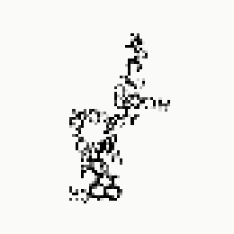 CCc1cccc2cc(O)cc(-c3ncc4c(N5C[C@H]6CC[C@@H](C5)N6)nc(OCCN5CCC(C)(CN6CCN(c7cc([C@@H](C(=O)N8C[C@H](O)C[C@H]8C(=O)N[C@@H](C)c8ccc(-c9scnc9C)cc8)C(C)C)on7)CC6)CC5)nc4c3F)c12